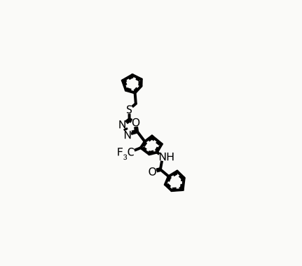 O=C(Nc1ccc(-c2nnc(SCc3ccccc3)o2)c(C(F)(F)F)c1)c1ccccc1